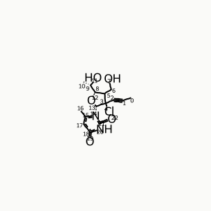 CC#CC1(Cl)C(CO)[C@@H]([C@H](C)O)O[C@H]1n1c(C)cc(=O)[nH]c1=O